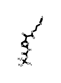 CC(C)(C)OC(=O)Nc1nc(C(=O)C(=O)OCCN=C=S)cs1